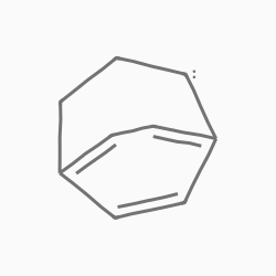 [C]1CCc2ccc1cc2